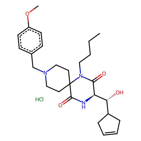 CCCCN1C(=O)[C@@H]([C@H](O)C2CC=CC2)NC(=O)C12CCN(Cc1ccc(OC)cc1)CC2.Cl